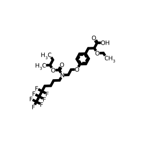 CCOC(Cc1ccc(OCCN(CCCCC(F)(F)C(F)(F)C(F)(F)F)C(=O)OC(C)CC)cc1)C(=O)O